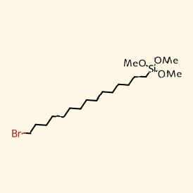 CO[Si](CCCCCCCCCCCCCCCBr)(OC)OC